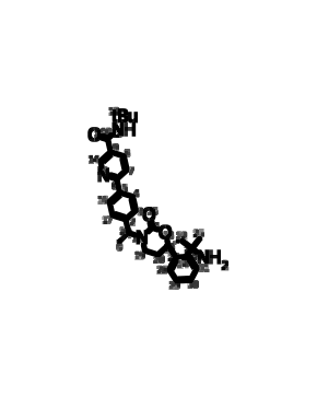 C[C@@H](c1ccc(-c2ccc(C(=O)NC(C)(C)C)cn2)cc1)N1CC[C@](CC(C)(C)N)(c2ccccc2)OC1=O